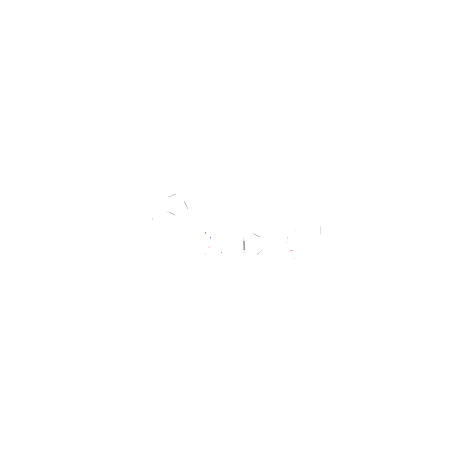 CCO[C@@H](Cc1ccc(OC(C)(C)C(=O)NCCc2cccc(C(F)(F)F)c2)cc1)C(=O)O